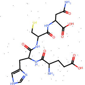 NC(=O)CC(NC(=O)C(CS)NC(=O)C(Cc1c[nH]cn1)NC(=O)C(N)CCC(=O)O)C(=O)O